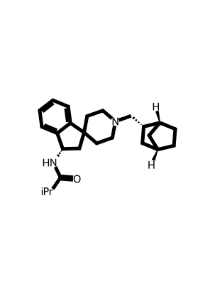 CC(C)C(=O)N[C@H]1CC2(CCN(C[C@H]3C[C@H]4CC[C@@H]3C4)CC2)c2ccccc21